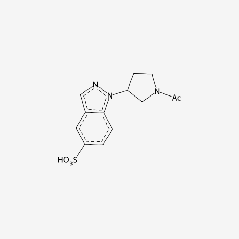 CC(=O)N1CCC(n2ncc3cc(S(=O)(=O)O)ccc32)C1